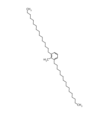 [CH2]c1c(CCCCCCCCCCCCCCCC)cccc1CCCCCCCCCCCCCCCC